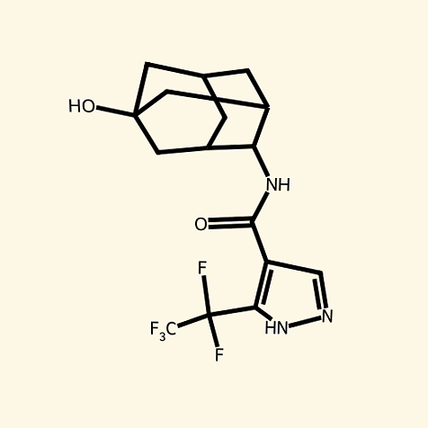 O=C(NC1C2CC3CC1CC(O)(C3)C2)c1cn[nH]c1C(F)(F)C(F)(F)F